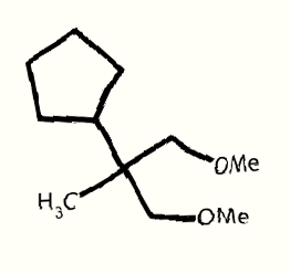 COCC(C)(COC)C1CCCC1